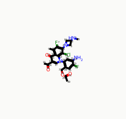 CNC1CN(c2c(F)c(C)c3c(=O)c(C(C)=O)cn(-c4cc(N)c(F)cc4COC(C)=O)c3c2Cl)C1